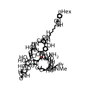 CCCCCCc1ccc(NC(=O)NCCCCCCNCc2c(O)cc3c(c2C)-c2cc(ccc2O)[C@H]2NC(=O)[C@@H]4NC(=O)[C@H](CC(N)=O)NC(=O)[C@H](NC(=O)[C@@H](CC(C)C)NC)[C@H](O)c5ccc(c(C)c5)Oc5cc4cc(c5O[C@@H]4O[C@H](CO)[C@@H](O)[C@H](O)[C@H]4O[C@H]4C[C@]5(C)NC(=O)O[C@@H]5[C@H](C)O4)Oc4ccc(cc4Cl)[C@@H](O)[C@H](NC2=O)C(=O)N[C@@H]3C(=O)O)cc1